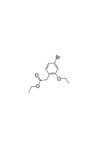 CCOC(=O)Cc1ccc(Br)cc1OCC